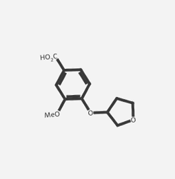 COc1cc(C(=O)O)ccc1OC1CCOC1